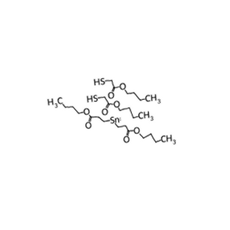 CCCCOC(=O)CS.CCCCOC(=O)CS.CCCCOC(=O)C[CH2][Sn][CH2]CC(=O)OCCCC